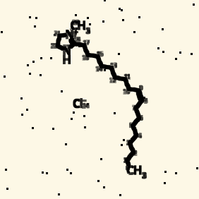 CCCCCCCC/C=C\CCCCCCCCC1=[N+](C)CCN1.[Cl-]